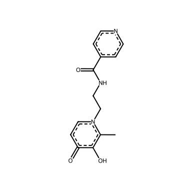 Cc1c(O)c(=O)ccn1CCNC(=O)c1ccncc1